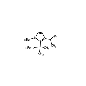 CCCCCC(C)(C)c1c(C(C)C(C)C)ncn1CCCC